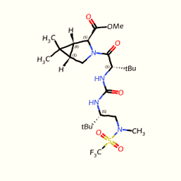 COC(=O)[C@@H]1[C@@H]2[C@H](CN1C(=O)[C@@H](NC(=O)N[C@H](CN(C)S(=O)(=O)C(F)(F)F)C(C)(C)C)C(C)(C)C)C2(C)C